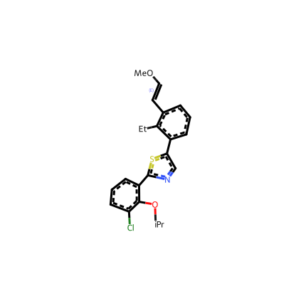 CCc1c(/C=C/OC)cccc1-c1cnc(-c2cccc(Cl)c2OC(C)C)s1